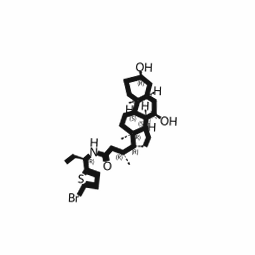 CC[C@@H](NC(=O)C[C@@H](C)[C@H]1CC[C@H]2[C@@H]3[C@H](O)C[C@@H]4C[C@H](O)CC[C@]4(C)[C@H]3CC[C@]12C)c1ccc(Br)s1